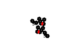 c1ccc(-c2ccccc2-c2c3ccccc3c(-c3ccc4c(c3)sc3ccccc34)c3ccc(-c4ccc(-c5ccccc5-c5c6ccccc6c(-c6ccc7sc8ccccc8c7c6)c6ccccc56)cc4)cc23)cc1